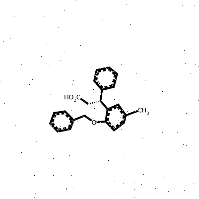 Cc1ccc(OCc2ccccc2)c([C@H](CC(=O)O)c2ccccc2)c1